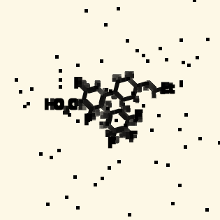 CCC=CC1CCC(c2cc(F)c(C(=O)O)c(F)c2-c2cc(F)c(F)c(F)c2)CC1